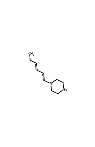 [CH2]C/C=C/C=C/N1CCNCC1